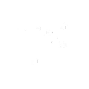 BC(C)(CC)COC1CC(C)CCC1C(C)C